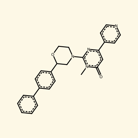 Cn1c(N2CCOC(c3ccc(-c4ccccc4)cc3)C2)nc(-c2ccncc2)cc1=O